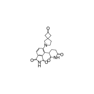 O=C1CC2(CCN(c3ccc4c(c3C3CCC(=O)NC3=O)C(=O)NC4=O)C2)C1